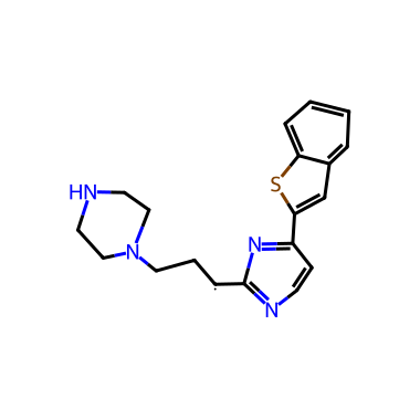 [CH](CCN1CCNCC1)c1nccc(-c2cc3ccccc3s2)n1